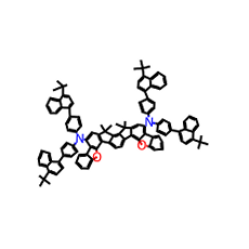 CC(C)(C)c1ccc(-c2ccc(N(c3ccc(-c4ccc(C(C)(C)C)c5ccccc45)cc3)c3cc4c(c5oc6ccccc6c35)-c3ccc5c(c3C4(C)C)C(C)(C)c3cc(N(c4ccc(-c6ccc(C(C)(C)C)c7ccccc67)cc4)c4ccc(-c6ccc(C(C)(C)C)c7ccccc67)cc4)c4c(oc6ccccc64)c3-5)cc2)c2ccccc12